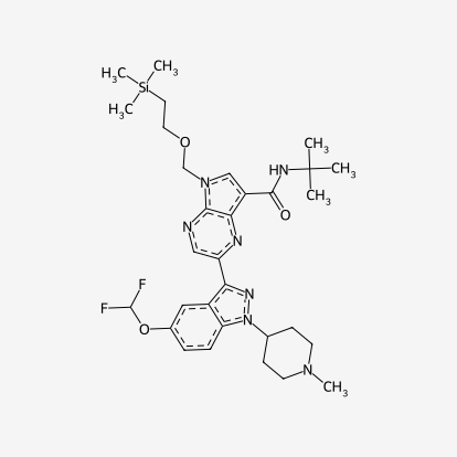 CN1CCC(n2nc(-c3cnc4c(n3)c(C(=O)NC(C)(C)C)cn4COCC[Si](C)(C)C)c3cc(OC(F)F)ccc32)CC1